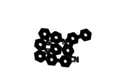 N#Cc1ccc2c(c1)c1cc(-c3ccccc3)ccc1n2-c1cccc([Si]2(c3ccccc3)c3ccccc3[Si](c3ccccc3)(c3cccc(-c4ccccc4)c3)c3ccccc32)c1